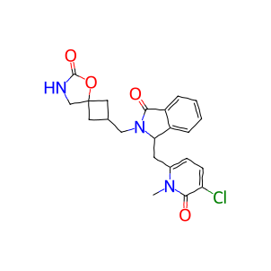 Cn1c(CC2c3ccccc3C(=O)N2CC2CC3(CNC(=O)O3)C2)ccc(Cl)c1=O